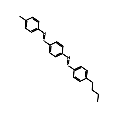 CCCCc1ccc(N=Nc2ccc(N=Nc3ccc(C)cc3)cc2)cc1